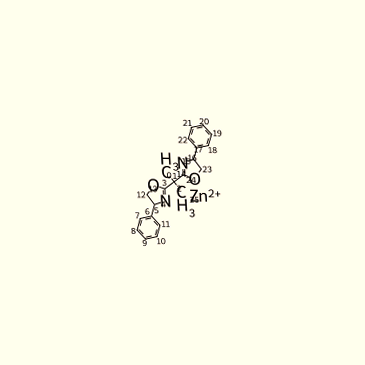 CC(C)(C1=NC(c2ccccc2)CO1)C1=NC(c2ccccc2)CO1.[Zn+2]